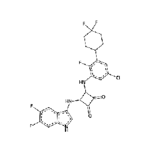 O=C1C(=O)C(Nc2c[nH]c3cc(F)c(F)cc23)C1Nc1cc(Cl)cc(C2CCC(F)(F)CC2)c1F